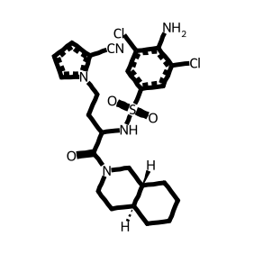 N#Cc1cccn1CCC(NS(=O)(=O)c1cc(Cl)c(N)c(Cl)c1)C(=O)N1CC[C@@H]2CCCC[C@H]2C1